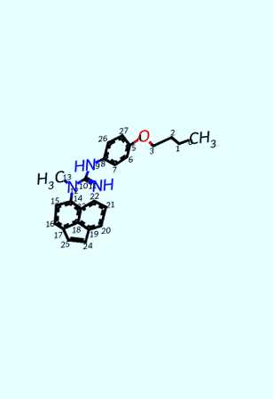 CCCCOc1ccc(NC(=N)N(C)c2ccc3c4c(cccc24)C=C3)cc1